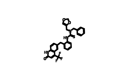 O=c1cc(C(F)(F)F)c2cc(Cc3ccccc3NC(=S)N(CC3=COCO3)Cc3ccccc3)ccc2[nH]1